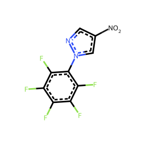 O=[N+]([O-])c1cnn(-c2c(F)c(F)c(F)c(F)c2F)c1